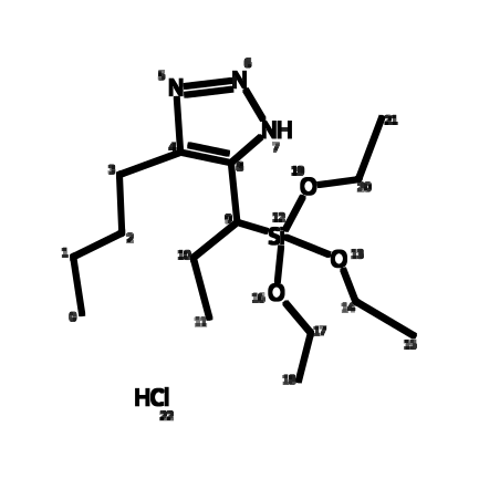 CCCCc1nn[nH]c1C(CC)[Si](OCC)(OCC)OCC.Cl